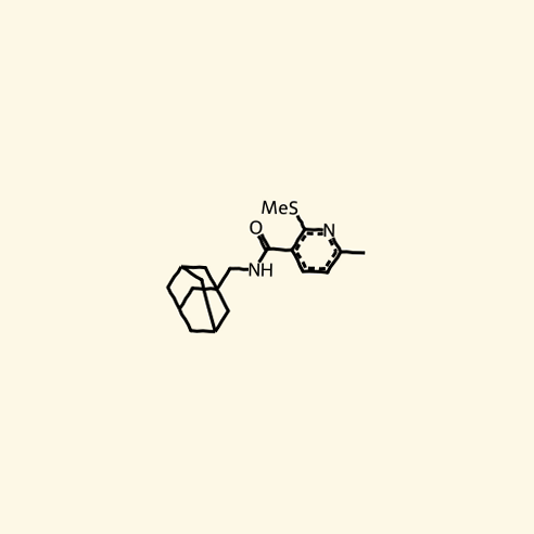 CSc1nc(C)ccc1C(=O)NCC12CC3CC(CC(C3)C1)C2